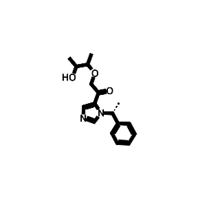 CC(O)C(C)OCC(=O)c1cncn1[C@H](C)c1ccccc1